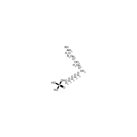 O.O.O.O.O.O.O.O.O.O.O.O.O=P(O)(O)O.[AlH3].[KH]